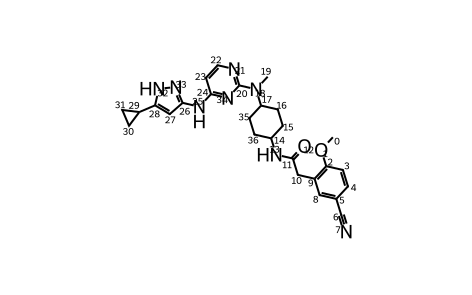 COc1ccc(C#N)cc1CC(=O)NC1CCC(N(C)c2nccc(Nc3cc(C4CC4)[nH]n3)n2)CC1